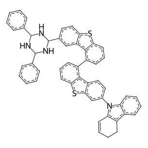 C1=Cc2c(c3ccccc3n2-c2ccc3c(c2)sc2cccc(-c4cccc5sc6ccc(C7NC(c8ccccc8)NC(c8ccccc8)N7)cc6c45)c23)CC1